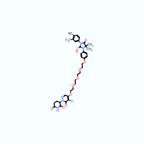 CC1(C)C(=O)N(c2ccc(C#N)c(C(F)(F)F)c2)C(=S=O)N1c1ccc(OCCOCCOCCOCCOc2cnn(C3CCC(=O)NC3=O)c(=O)c2Cl)cc1